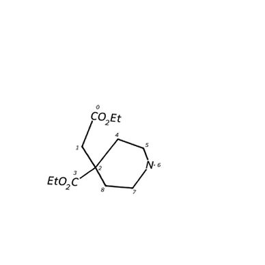 CCOC(=O)CC1(C(=O)OCC)CC[N]CC1